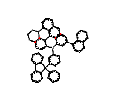 c1ccc(C2(c3cccc(N(c4cccc(-c5cccc6ccccc56)c4)c4ccccc4-c4cccc5cccc(C6CCCCC6)c45)c3)c3ccccc3-c3ccccc32)cc1